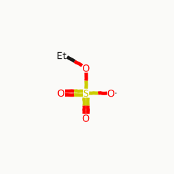 CCOS([O])(=O)=O